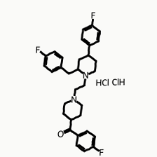 Cl.Cl.O=C(c1ccc(F)cc1)C1CCN(CCN2CCC(c3ccc(F)cc3)CC2Cc2ccc(F)cc2)CC1